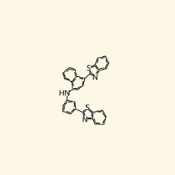 c1cc(Nc2ccc(-c3nc4ccccc4s3)c3ccccc23)cc(-c2nc3ccccc3s2)c1